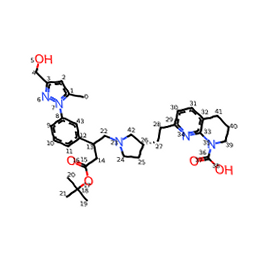 Cc1cc(CO)nn1-c1cccc(C(CC(=O)OC(C)(C)C)CN2CC[C@@H](CCc3ccc4c(n3)N(C(=O)O)CCC4)C2)c1